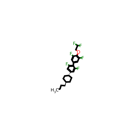 CCCC[C@H]1CC[C@H](c2cc(F)c(-c3cc(F)c(OCC(F)F)c(F)c3)c(F)c2)CC1